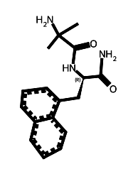 CC(C)(N)C(=O)N[C@H](Cc1cccc2ccccc12)C(N)=O